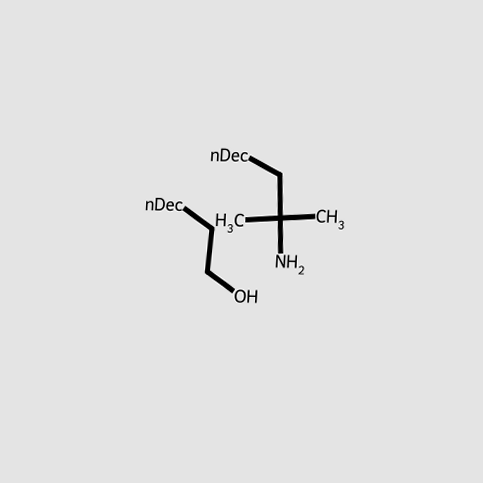 CCCCCCCCCCCC(C)(C)N.CCCCCCCCCCCCO